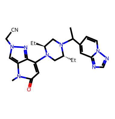 CC[C@H]1CN(C(C)c2ccn3ncnc3c2)[C@H](CC)CN1c1cc(=O)n(C)c2cn(CC#N)nc12